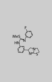 CSC(=Nc1cccc(F)c1)Nc1cccc(C2CN3CCSC3=N2)c1